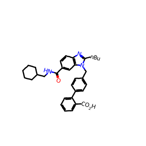 CCCCc1nc2ccc(C(=O)NCC3CCCCC3)cc2n1Cc1ccc(-c2ccccc2C(=O)O)cc1